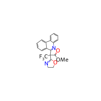 COC(=O)C(C1=NCCO1)(c1nc2ccccc2c2ccccc12)C(F)(F)F